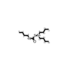 CCCC[N]C(=O)SN(CCCC)CCCC